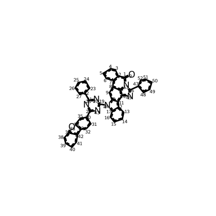 O=c1c2ccccc2c2cc3c(c4ccccc4n3-c3nc(-c4ccccc4)nc(-c4ccc5c(c4)oc4ccccc45)n3)c3nc(-c4ccccc4)n1c23